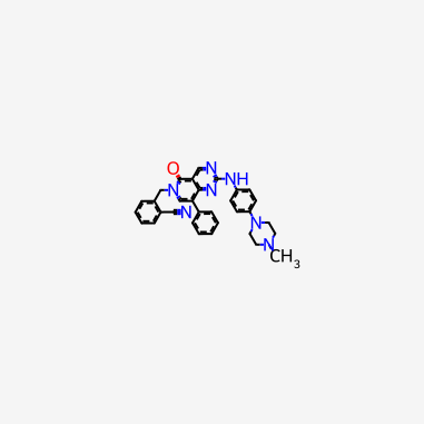 CN1CCN(c2ccc(Nc3ncc4c(=O)n(Cc5ccccc5C#N)cc(-c5ccccc5)c4n3)cc2)CC1